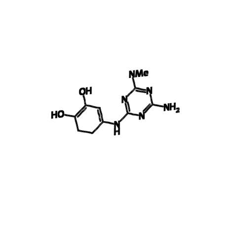 CNc1nc(N)nc(NC2=CC(O)=C(O)CC2)n1